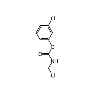 O=C(NCCl)Oc1cccc(Cl)c1